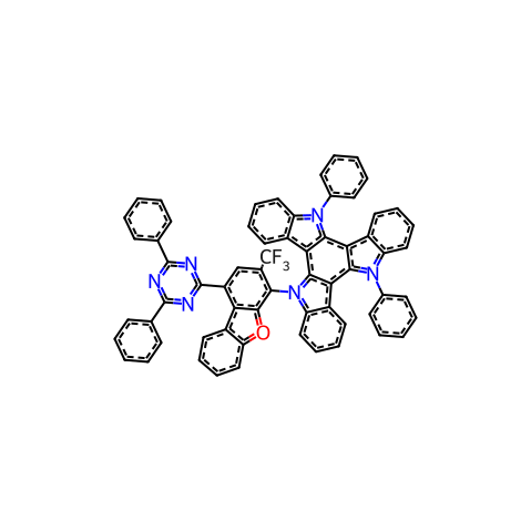 FC(F)(F)c1cc(-c2nc(-c3ccccc3)nc(-c3ccccc3)n2)c2c(oc3ccccc32)c1-n1c2ccccc2c2c3c(c4ccccc4n3-c3ccccc3)c3c(c4ccccc4n3-c3ccccc3)c21